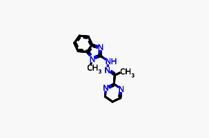 C/C(=N\Nc1nc2ccccc2n1C)C1=NCCC=N1